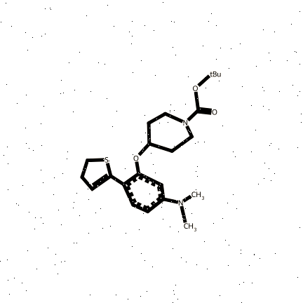 CN(C)c1ccc(C2=CCCS2)c(OC2CCN(C(=O)OC(C)(C)C)CC2)c1